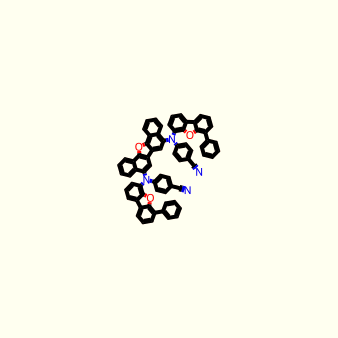 N#Cc1ccc(N(c2cc3c4cc(N(c5ccc(C#N)cc5)c5cccc6c5oc5c(-c7ccccc7)cccc56)c5ccccc5c4oc3c3ccccc23)c2cccc3c2oc2c(-c4ccccc4)cccc23)cc1